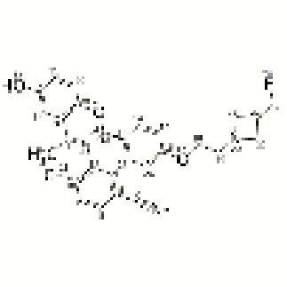 CC1=C(c2cc(C#N)ccc2Cl)[C@H](c2ccc(OCCN3CC(CF)C3)cc2)Oc2ccc(O)cc21